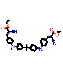 CCOC(=O)/C(C#N)=C/c1ccc(N(C)c2ccc(C(C)(C)c3ccc(N(C)c4ccc(/C=C(\C#N)C(=O)OCC)cc4)cc3)cc2)cc1